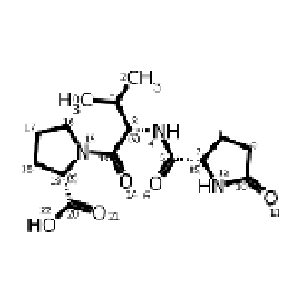 CC(C)[C@H](NC(=O)[C@@H]1CCC(=O)N1)C(=O)N1CCC[C@H]1C(=O)O